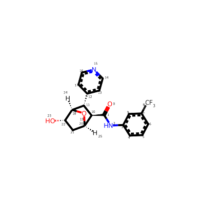 O=C(Nc1cccc(C(F)(F)F)c1)[C@@H]1[C@@H](c2ccncc2)[C@H]2O[C@@H]1C[C@@H]2O